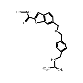 CC(NCc1ccc(CNCc2ccc3cc(C(=O)NO)sc3c2)cc1)C(=O)O